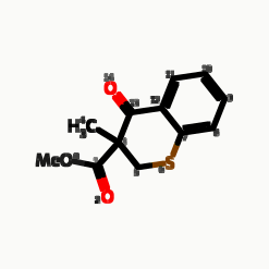 COC(=O)C1(C)CSc2ccccc2C1=O